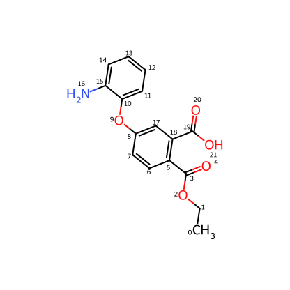 CCOC(=O)c1ccc(Oc2ccccc2N)cc1C(=O)O